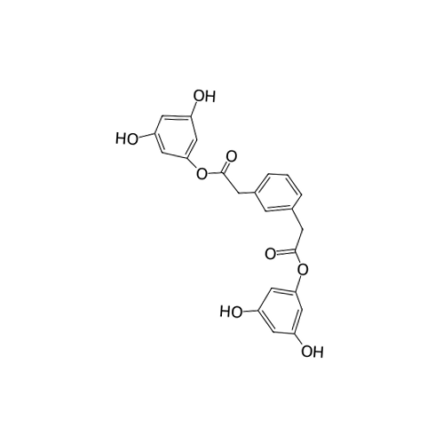 O=C(Cc1cccc(CC(=O)Oc2cc(O)cc(O)c2)c1)Oc1cc(O)cc(O)c1